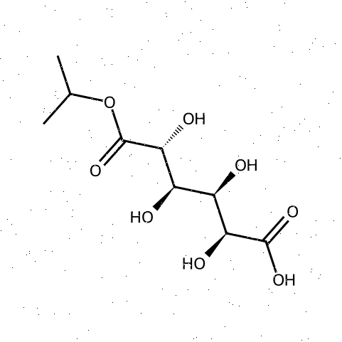 CC(C)OC(=O)[C@H](O)[C@H](O)[C@@H](O)[C@H](O)C(=O)O